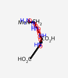 C=C(COCCOCCNC(=O)COCCOCCNC(=O)CC[C@H](CC(=O)[C@H]1CC[C@H](CNC(=O)CCCCCCCCCCCCCCCCCCC(=O)O)CC1)C(=O)O)NCCCC[C@H](NC)C(N)=O